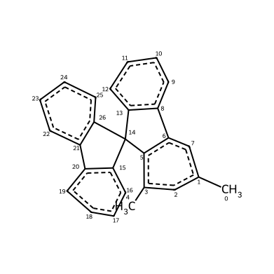 Cc1cc(C)c2c(c1)-c1ccccc1C21c2ccccc2-c2ccccc21